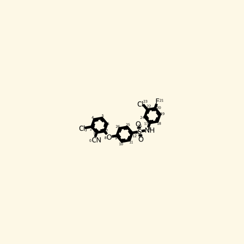 N#Cc1c(Cl)cccc1Oc1ccc(S(=O)(=O)Nc2ccc(F)c(Cl)c2)cc1